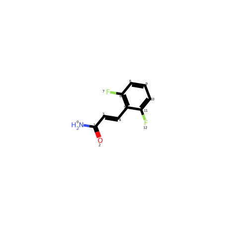 NC(=O)C=Cc1c(F)cccc1F